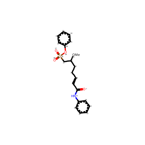 COC(CCC=CC(=O)Nc1ccccc1)CS(=O)(=O)Oc1ccccc1